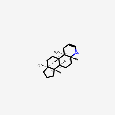 C[C@@]12CCC[C@H]1[C@@H]1CC[C@H]3NC=CC[C@]3(C)[C@H]1CC2